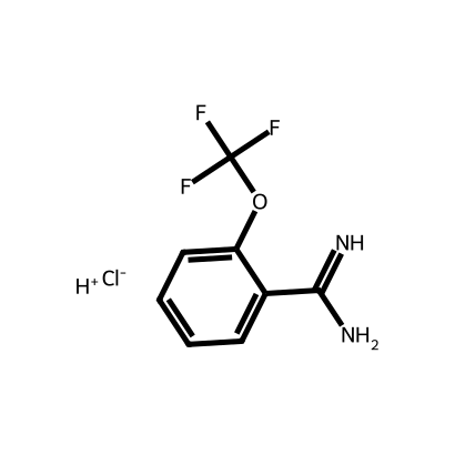 N=C(N)c1ccccc1OC(F)(F)F.[Cl-].[H+]